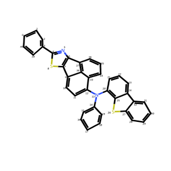 c1ccc(-c2nc3c(s2)-c2ccc(N(c4ccccc4)c4cccc5c4sc4ccccc45)c4cccc-3c24)cc1